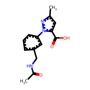 CC(=O)NCc1cccc(-n2nc(C)cc2C(=O)O)c1